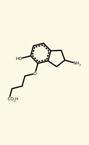 NC1Cc2ccc(O)c(OCCCC(=O)O)c2C1